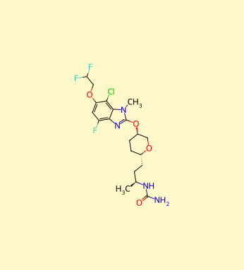 C[C@@H](CC[C@@H]1CC[C@@H](Oc2nc3c(F)cc(OCC(F)F)c(Cl)c3n2C)CO1)NC(N)=O